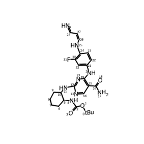 CC(C)(C)OC(=O)N[C@H]1CCCC[C@H]1Nc1ncc(C(N)=O)c(Nc2ccc(N/C=C\C=N)c(F)c2)n1